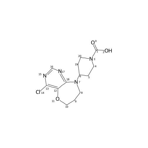 O=C(O)N1CCC(N2CCCOc3c(Cl)ncnc32)CC1